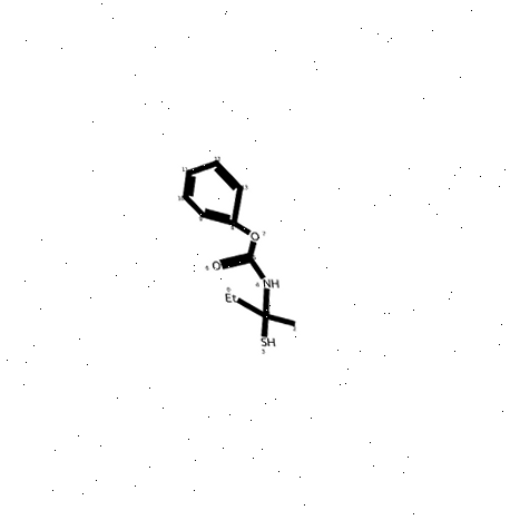 CCC(C)(S)NC(=O)Oc1ccccc1